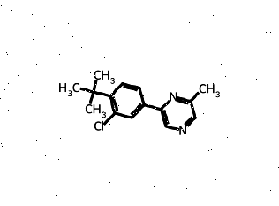 Cc1cncc(-c2ccc(C(C)(C)C)c(Cl)c2)n1